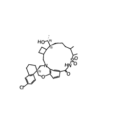 CC1CCC[C@H]([C@@H](C)O)C2CCC2CN2C[C@@]3(CCCc4cc(Cl)ccc43)COc3ccc(cc32)C(=O)NS(=O)(=O)C1C